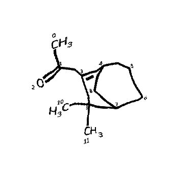 CC(=O)C1=C2CCC(C2)C1(C)C